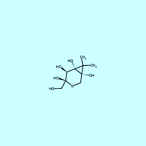 CC1(C)[C@]2(O)[C@H](O)[C@@](O)(CO)OC[C@]12O